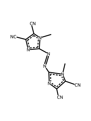 Cn1c(/N=N/c2nc(C#N)c(C#N)n2C)nc(C#N)c1C#N